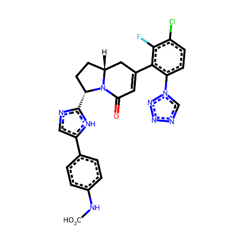 O=C(O)Nc1ccc(-c2cnc([C@@H]3CC[C@@H]4CC(c5c(-n6cnnn6)ccc(Cl)c5F)=CC(=O)N43)[nH]2)cc1